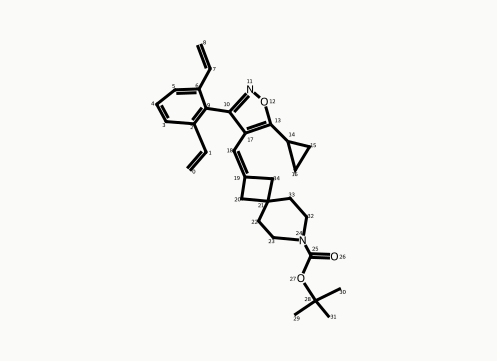 C=Cc1cccc(C=C)c1-c1noc(C2CC2)c1C=C1CC2(CCN(C(=O)OC(C)(C)C)CC2)C1